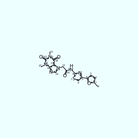 Cc1ccc(-c2csc(NC(=O)Cn3cnc4c3c(=O)n(C)c(=O)n4C)n2)o1